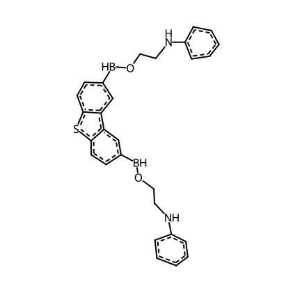 B(OCCNc1ccccc1)c1ccc2sc3ccc(BOCCNc4ccccc4)cc3c2c1